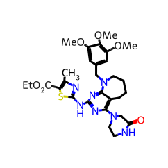 CCOC(=O)c1sc(Nc2nc(N3CCNC(=O)C3)c3c(n2)N(Cc2cc(OC)c(OC)c(OC)c2)CCCC3)nc1C